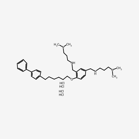 CN(C)CCCNCc1ccc(OCCCCCCc2ccc(-c3ccccc3)cc2)c(CNCCCN(C)C)c1.Cl.Cl.Cl.Cl